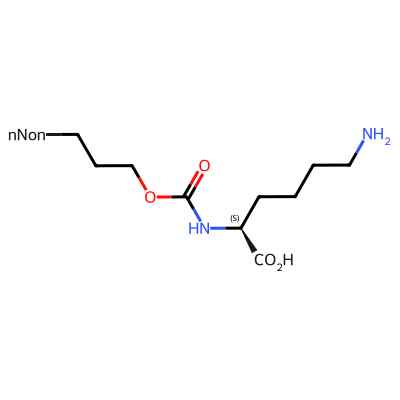 CCCCCCCCCCCCOC(=O)N[C@@H](CCCCN)C(=O)O